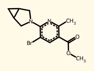 COC(=O)c1cc(Br)c(N2CC3CC3C2)nc1C